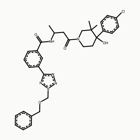 CC(CC(=O)N1CCC(O)(c2ccc(Cl)cc2)C(C)(C)C1)NC(=O)c1cccc(-c2nnn(COCc3ccccc3)n2)c1